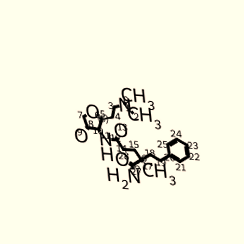 CN(C)CC[C@@H]1OCC(=O)C1NC(=O)[CH]CC(C)(CCc1ccccc1)C(N)=O